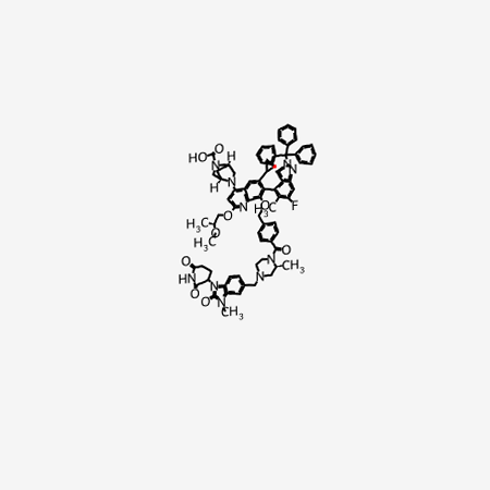 CO[C@@H](C)COc1cc(N2C[C@@H]3C[C@H]2CN3C(=O)O)c2cc(C3CC3)c(-c3c(C)c(F)cc4nn(C(c5ccccc5)(c5ccccc5)c5ccccc5)cc34)c(OCc3ccc(C(=O)N4CCN(Cc5ccc6c(c5)n(C)c(=O)n6C5CCC(=O)NC5=O)C[C@@H]4C)cc3)c2n1